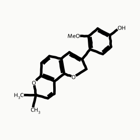 COc1cc(O)ccc1C1=Cc2ccc3c(c2OC1)C=CC(C)(C)O3